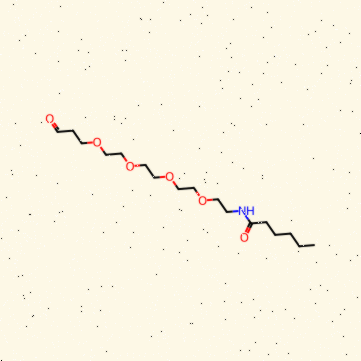 CCCCCC(=O)NCCOCCOCCOCCOCCC=O